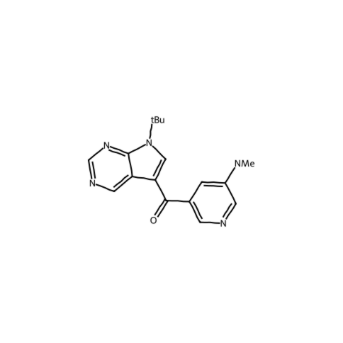 CNc1cncc(C(=O)c2cn(C(C)(C)C)c3ncncc23)c1